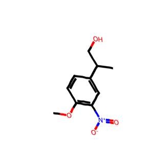 COc1ccc([C](C)CO)cc1[N+](=O)[O-]